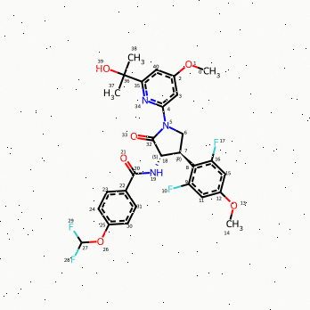 COc1cc(N2C[C@@H](c3c(F)cc(OC)cc3F)[C@H](NC(=O)c3ccc(OC(F)F)cc3)C2=O)nc(C(C)(C)O)c1